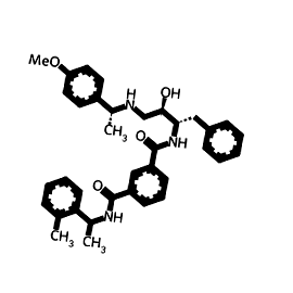 COc1ccc([C@@H](C)NC[C@@H](O)[C@H](Cc2ccccc2)NC(=O)c2cccc(C(=O)NC(C)c3ccccc3C)c2)cc1